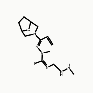 C=C/C(=N\N(C)/C(I)=N\CNNC)N1CC2CCC(C1)O2